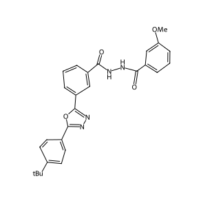 COc1cccc(C(=O)NNC(=O)c2cccc(-c3nnc(-c4ccc(C(C)(C)C)cc4)o3)c2)c1